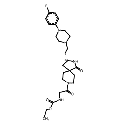 CCOC(=O)NCC(=O)N1CCC2(CC1)C[C@H](CCN1CCN(c3ccc(F)cc3)CC1)NC2=O